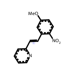 COc1ccc([N+](=O)[O-])c(/C=C/c2ccccn2)c1